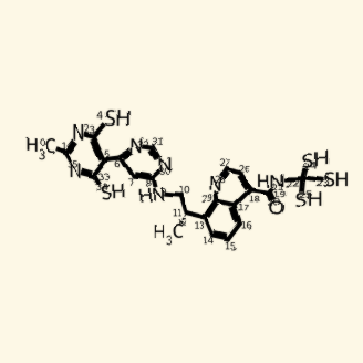 Cc1nc(S)c(-c2cc(NC[C@@H](C)c3cccc4c(C(=O)NC(S)(S)S)ccnc34)ncn2)c(S)n1